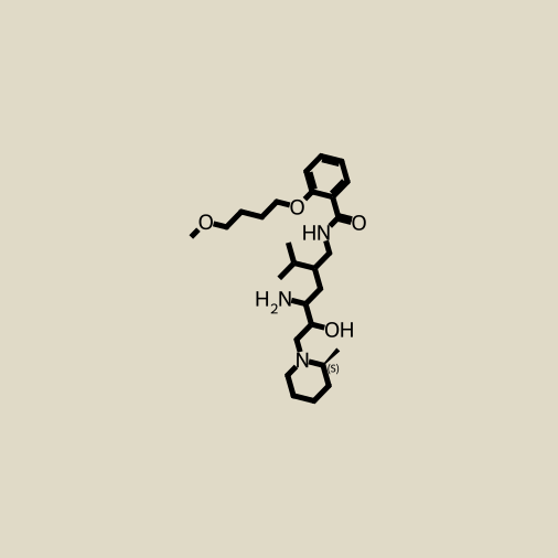 COCCCCOc1ccccc1C(=O)NCC(CC(N)C(O)CN1CCCC[C@@H]1C)C(C)C